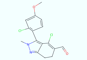 COc1ccc(-c2c3c(nn2C)CCC(C=O)=C3Cl)c(Cl)c1